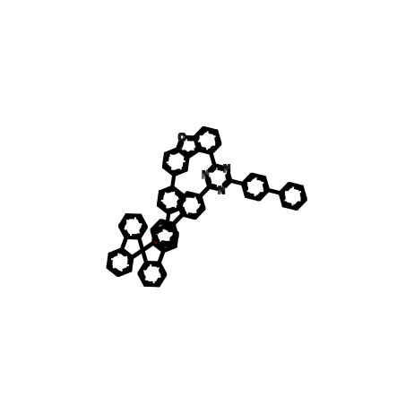 c1ccc(-c2ccc(-c3nc(-c4ccc(-c5ccccc5)cc4)nc(-c4cccc5oc6ccc(-c7ccc(-c8ccc9c(c8)C8(c%10ccccc%10-c%10ccccc%108)c8ccccc8-9)cc7)cc6c45)n3)cc2)cc1